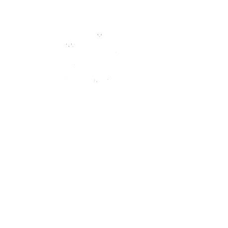 CNC(=O)C(C(=O)OC)N(C)C(=O)c1ccc(-c2ccc(C=O)cc2)cc1